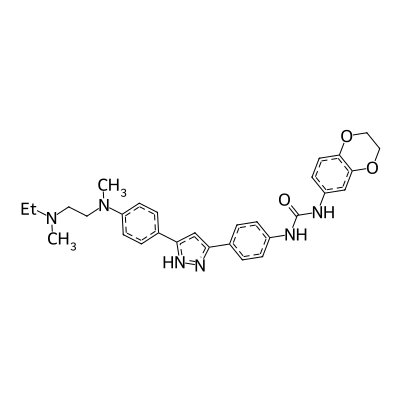 CCN(C)CCN(C)c1ccc(-c2cc(-c3ccc(NC(=O)Nc4ccc5c(c4)OCCO5)cc3)n[nH]2)cc1